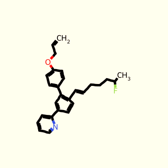 C=CCOc1ccc(-c2cc(-c3ccccn3)ccc2C=CCCCC(C)F)cc1